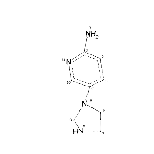 Nc1ccc(N2CCNC2)cn1